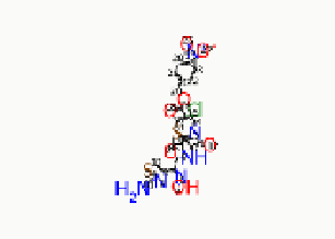 Nc1nc(C(=NO)C(=O)NC2C(=O)N3CC(Cl)(C(=O)OCc4ccc([N+](=O)[O-])cc4)CS[C@H]23)cs1